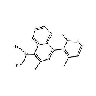 CCCN(CCC)c1c(C)nc(-c2c(C)cccc2C)c2ccccc12